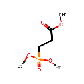 CCCOC(=O)CCP(=O)(OCC)OCC